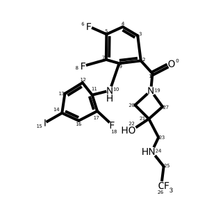 O=C(c1ccc(F)c(F)c1Nc1ccc(I)cc1F)N1CC(O)(CNCC(F)(F)F)C1